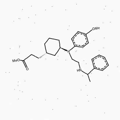 COC(=O)CC[C@@H]1CCC[C@@H](N(CCNC(C)c2ccccc2)c2ccc(OC)cc2)C1